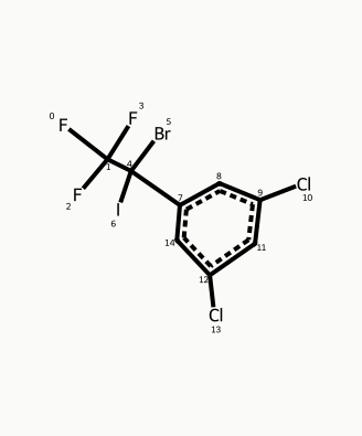 FC(F)(F)C(Br)(I)c1cc(Cl)cc(Cl)c1